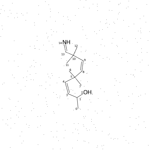 CC(O)/C=C\C(C)(C)/C=C\C(C)(C)C=N